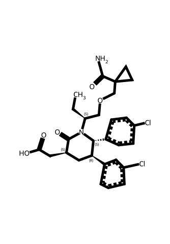 CC[C@@H](COCC1(C(N)=O)CC1)N1C(=O)[C@H](CC(=O)O)C[C@H](c2cccc(Cl)c2)[C@H]1c1ccc(Cl)cc1